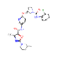 CC1CCCN(c2nc(C(F)(F)F)c(C(=O)Nc3ccc(O[C@@H]4CCN(C(=O)Nc5ccccc5F)C4)nc3)o2)C1